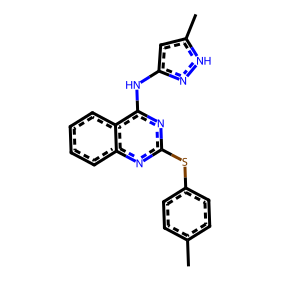 Cc1ccc(Sc2nc(Nc3cc(C)[nH]n3)c3ccccc3n2)cc1